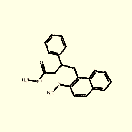 COc1ccc2ccccc2c1CC(CC(=O)NN)c1ccccc1